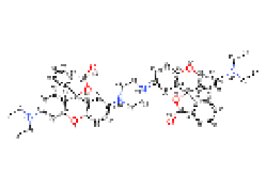 CCN(CC)c1ccc2c(c1)Oc1ccc(N3CCN(c4ccc5c(c4)C4(OC(=O)c6ccccc64)c4ccc(N(CC)CC)cc4O5)CC3)cc1C21OC(=O)c2ccccc21